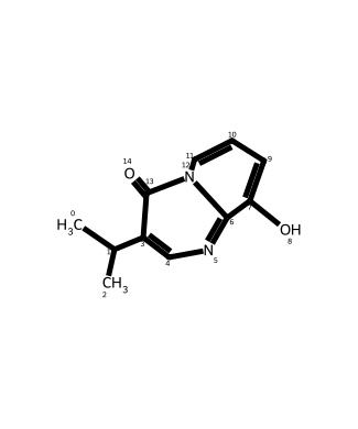 CC(C)c1cnc2c(O)cccn2c1=O